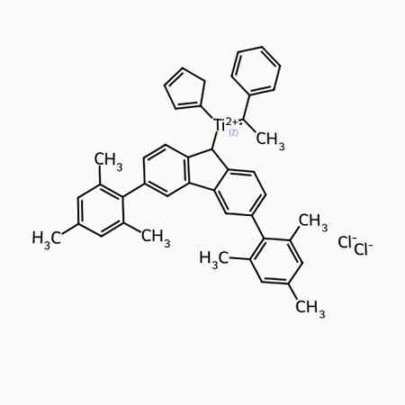 C/[C](c1ccccc1)=[Ti+2](/[C]1=CC=CC1)[CH]1c2ccc(-c3c(C)cc(C)cc3C)cc2-c2cc(-c3c(C)cc(C)cc3C)ccc21.[Cl-].[Cl-]